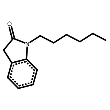 CCCCCCN1C(=O)Cc2ccccc21